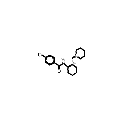 O=C(NC1CCCC[C@H]1CN1CCCCC1)c1ccc(Cl)cc1